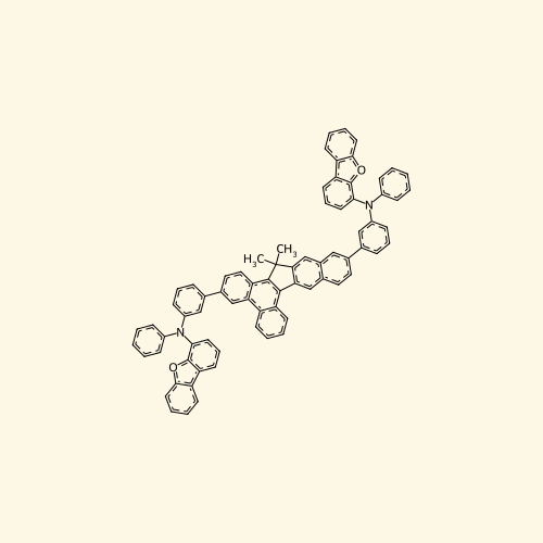 CC1(C)c2cc3cc(-c4cccc(N(c5ccccc5)c5cccc6c5oc5ccccc56)c4)ccc3cc2-c2c1c1ccc(-c3cccc(N(c4ccccc4)c4cccc5c4oc4ccccc45)c3)cc1c1ccccc21